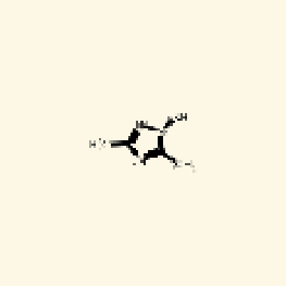 Cc1nc(C)n(S)n1